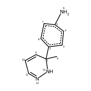 CC1(c2ccc(N)cc2)C=CC=NN1